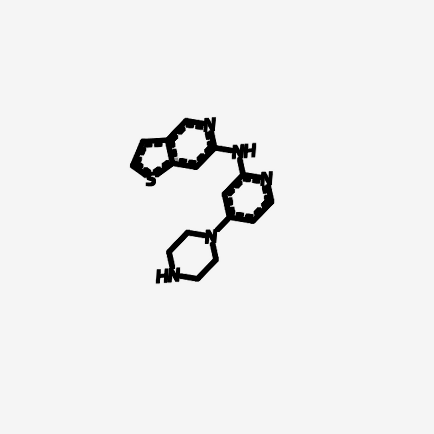 c1cc(N2CCNCC2)cc(Nc2cc3sccc3cn2)n1